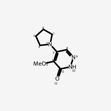 COc1c(N2C[CH]CC2)cn[nH]c1=O